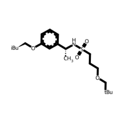 CC[C@H](C)COc1cccc([C@@H](C)NS(=O)(=O)CCCOCC(C)(C)C)c1